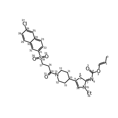 C/C=C/OC(=O)/N=c1\sc(C2CCN(C(=O)CCS(=O)(=O)c3ccc4cc(Cl)ccc4c3)CC2)cn1CC